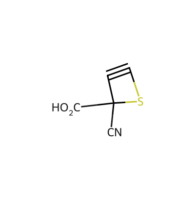 N#CC1(C(=O)O)C#CS1